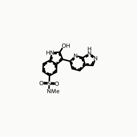 CNS(=O)(=O)c1ccc2[nH]c(O)c(-c3ccc4cn[nH]c4n3)c2c1